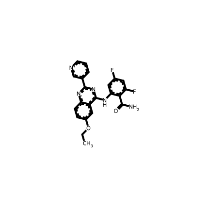 CCOc1ccc2nc(-c3cccnc3)nc(Nc3cc(F)cc(F)c3C(N)=O)c2c1